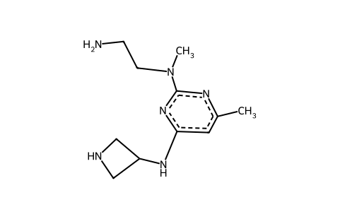 Cc1cc(NC2CNC2)nc(N(C)CCN)n1